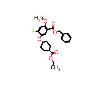 CCOC(=O)[C@H]1CC[C@@H](Oc2cc(C(=O)OCc3ccccc3)c(OC)cc2F)CC1